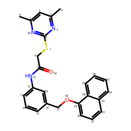 Cc1cc(C)nc(SCC(=O)Nc2cccc(COc3cccc4ccccc34)c2)n1